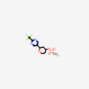 CS(=O)(=O)OC1CCOC(c2cnc(C(F)(F)F)nc2)C1